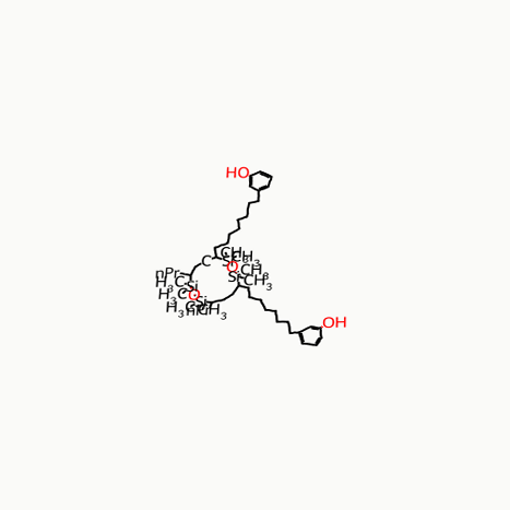 CCCC1CCC(CCCCCCCCc2cccc(O)c2)[Si](C)(C)O[Si](C)(C)C(CCCCCCCCc2cccc(O)c2)CCC(CCC)[Si](C)(C)O[Si]1(C)C